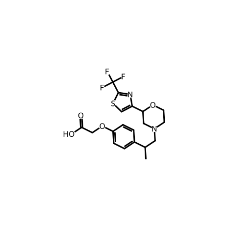 CC(CN1CCOC(c2csc(C(F)(F)F)n2)C1)c1ccc(OCC(=O)O)cc1